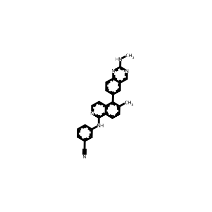 CNc1ncc2cc(-c3c(C)ccc4c(Nc5cccc(C#N)c5)nccc34)ccc2n1